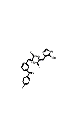 CC(C)(C)c1[nH]cnc1/C=c1\[nH]c(=O)/c(=C/c2cccc(C(=O)c3ccc(F)cc3)c2)[nH]c1=O